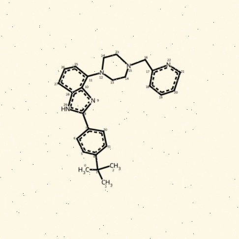 CC(C)(C)c1ccc(-c2nc3c(N4CCN(Cc5ccccn5)CC4)cccc3[nH]2)cc1